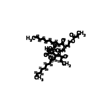 C=CC(=O)OCCN(CCN(C(=O)C=C)C(CCCCCCCCC)C(P(=O)(O)O)P(=O)(O)O)C(=O)CCCCCCCCC